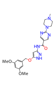 COc1cc(COc2cc(NC(=O)c3cnc(N4CCN(C)CC4)nc3)n[nH]2)cc(OC)c1